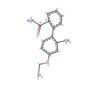 Cc1cc(OCC(F)(F)F)ccc1-c1ccccc1C(N)=O